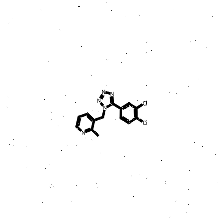 Cc1ncccc1Cn1nnnc1-c1ccc(Cl)c(Cl)c1